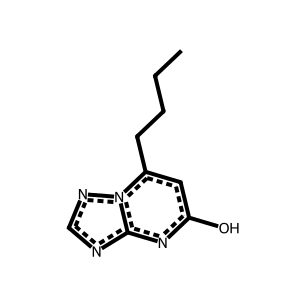 CCCCc1cc(O)nc2ncnn12